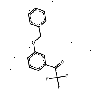 O=C(c1cccc(OCc2ccccc2)c1)C(F)(F)F